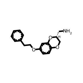 NC[C@@H]1COc2ccc(OCCc3ccccc3)cc2O1